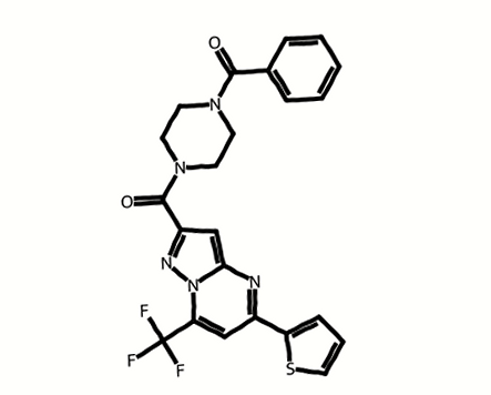 O=C(c1ccccc1)N1CCN(C(=O)c2cc3nc(-c4cccs4)cc(C(F)(F)F)n3n2)CC1